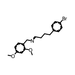 COc1ccc(CN=CCCCc2ccc(Br)cc2)c(OC)c1